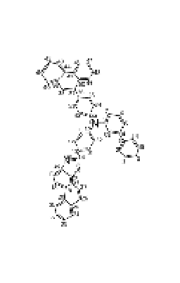 c1ccc(-c2cccc(N(c3ccc(-c4nc5ccc6c7ccccc7ccc6c5s4)cc3)c3ccc(-c4cc5ccccc5c5ccccc45)cc3)c2)cc1